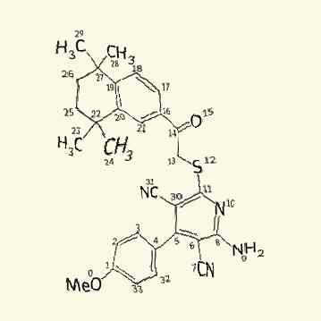 COc1ccc(-c2c(C#N)c(N)nc(SCC(=O)c3ccc4c(c3)C(C)(C)CCC4(C)C)c2C#N)cc1